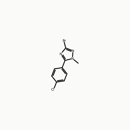 Cn1nc(Br)nc1-c1ccc(Cl)cc1